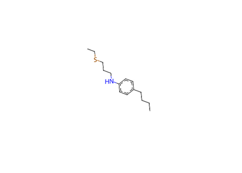 CCCCc1ccc(NCCCSCC)cc1